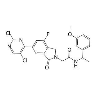 COc1cccc(C(C)NC(=O)CN2Cc3c(F)cc(-c4nc(Cl)ncc4Cl)cc3C2=O)c1